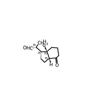 C[C@@H](C=O)[C@H]1CC[C@H]2C(=O)CCC[C@@]12C